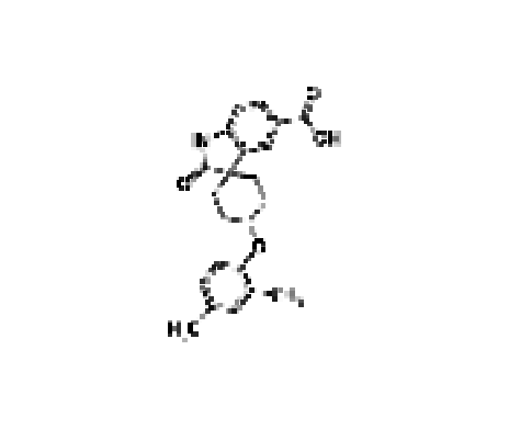 Cc1ccc(O[C@H]2CC[C@@]3(CC2)C(=O)Nc2ccc(C(=O)O)cc23)c(C)c1